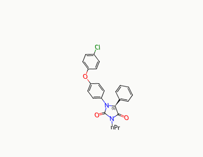 CCCN1C(=O)[C@H](c2ccccc2)N(c2ccc(Oc3ccc(Cl)cc3)cc2)C1=O